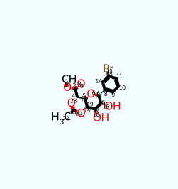 COC(=O)C[C@H]1O[C@H](c2cccc(Br)c2)[C@@H](O)[C@@H](O)[C@@H]1OC(C)=O